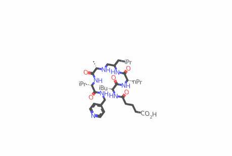 CCC[C@H](NC(=O)C(NC(=O)CCCC(=O)O)[C@@H](C)CC)C(=O)NC(CN[C@@H](C)C(=O)N[C@H](C(=O)NCc1ccncc1)C(C)C)CC(C)C